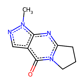 Cn1ncc2c(=O)n3c(nc21)CCC3